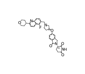 O=C1CC[C@H](N2Cc3cc(O[C@H]4CCN(Cc5ccc6nc(C7CCOCC7)ccc6c5F)C4)ccc3C2=O)C(=O)N1